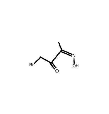 C/C(=N/O)C(=O)CBr